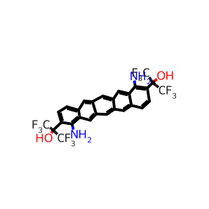 Nc1c(C(O)(C(F)(F)F)C(F)(F)F)ccc2cc3cc4cc5c(N)c(C(O)(C(F)(F)F)C(F)(F)F)ccc5cc4cc3cc12